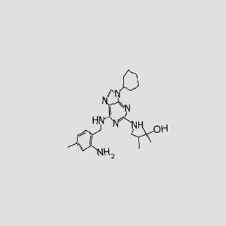 Cc1ccc(CNc2nc(NCC(C)C(C)(C)O)nc3c2ncn3C2CCCCC2)c(N)c1